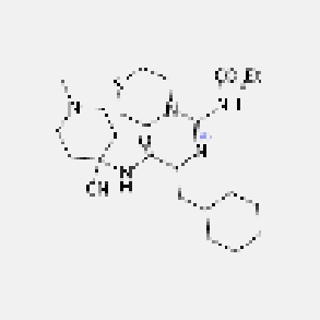 CCOC(=O)N/C(=N/C(CC1CCCCC1)C(=O)NC1(C#N)CCN(C)CC1)N1CCSCC1